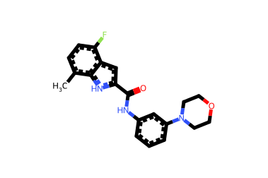 Cc1ccc(F)c2cc(C(=O)Nc3cccc(N4CCOCC4)c3)[nH]c12